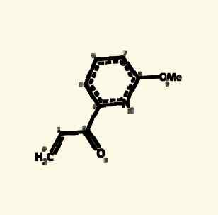 C=CC(=O)c1cccc(OC)n1